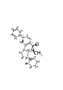 CN(C(=O)c1ccc(-c2ccccc2)cc1)C1CCCC1N1CCCCC1